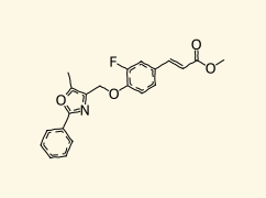 COC(=O)C=Cc1ccc(OCc2nc(-c3ccccc3)oc2C)c(F)c1